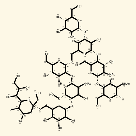 CC(=O)NC1C(O)[C@H](O[C@@H]2OC(CO[C@]3(OC=O)C[C@@H](O)[C@@H](C)C(C(O)[C@H](O)CO)O3)[C@H](O)[C@H](O)C2O)[C@H](CO)O[C@H]1OC1[C@@H](OCC2O[C@@H](O[C@@H]3C(CO)O[C@@H](O[C@@H]4C(CO)O[C@@H](C)C(NC(C)=O)[C@H]4O)C(NC(C)=O)[C@H]3O)C(O)[C@@H](O[C@H]3OC(CO)[C@@H](O)C(O)C3O)[C@@H]2O)OC(CO)[C@@H](O)[C@@H]1O